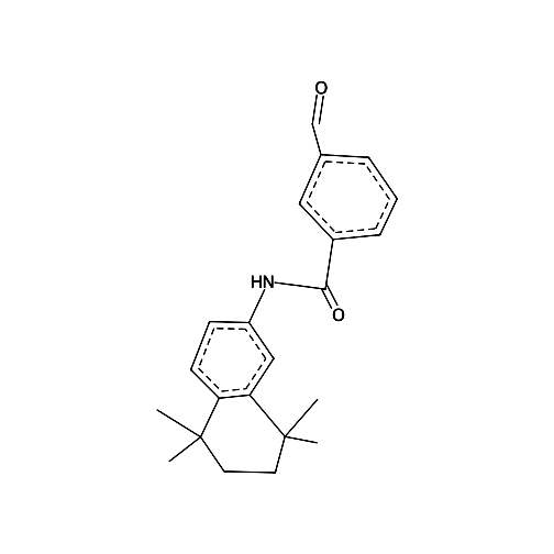 CC1(C)CCC(C)(C)c2cc(NC(=O)c3cccc(C=O)c3)ccc21